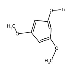 COc1cc(OC)cc([O][Ti])c1